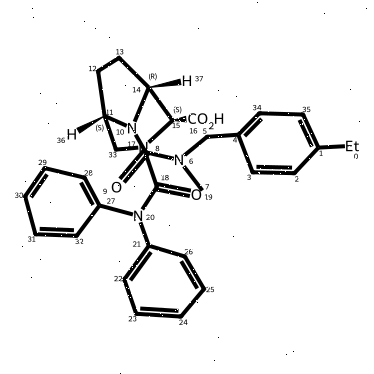 CCc1ccc(CN(C)C(=O)N2[C@H]3CC[C@@H]2[C@@H](C(=O)O)N(C(=O)N(c2ccccc2)c2ccccc2)C3)cc1